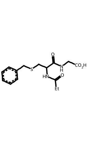 CCC(=O)NC(CSCc1ccccc1)C(=O)NCC(=O)O